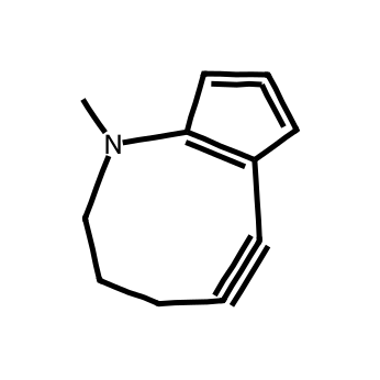 CN1CCCC#CC2=C1C=C=C2